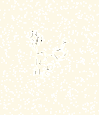 COc1ncc(Cn2cncn2)cc1-c1cccc(F)c1